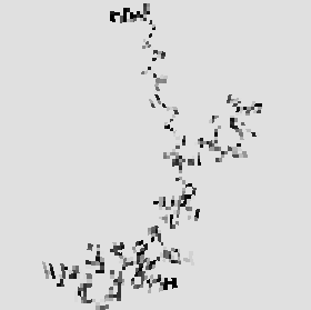 CCCCCCCCCCCCCCCCCCOC[C@H](COP(=O)(O)OC[C@H]1O[C@@](C#N)(c2ccc3c(N)ncnn23)[C@H](O)[C@@H]1O)OCc1cccc(C(F)F)c1